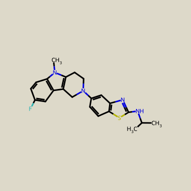 CC(C)Nc1nc2cc(N3CCc4c(c5cc(F)ccc5n4C)C3)ccc2s1